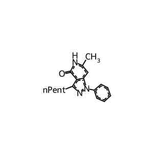 CCCCCc1nn(-c2ccccc2)c2cc(C)[nH]c(=O)c12